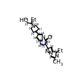 CCc1nc(C)cn2nc(C3=C\C(=O)N4C=C(C5CCN(C(CC)CO)CC5)C=C\C4=C/C=C/3)cc12